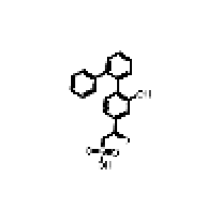 O=C(CS(=O)(=O)O)c1ccc(-c2ccccc2-c2ccccc2)c(O)c1